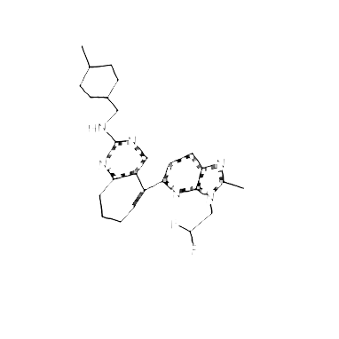 Cc1nc2ccc(C3=CCCCc4nc(NCC5CCC(C)CC5)ncc43)nc2n1CC(F)F